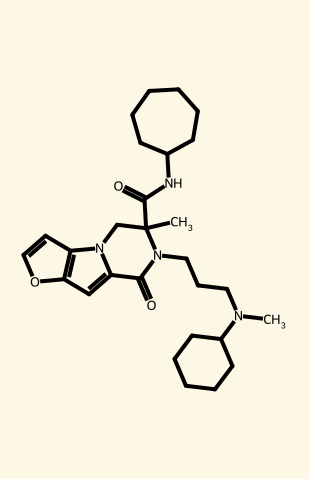 CN(CCCN1C(=O)c2cc3occc3n2CC1(C)C(=O)NC1CCCCCC1)C1CCCCC1